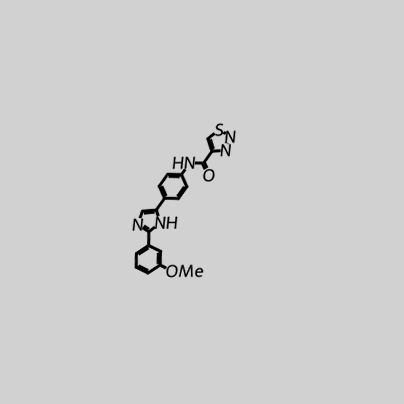 COc1cccc(-c2ncc(-c3ccc(NC(=O)c4csnn4)cc3)[nH]2)c1